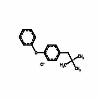 C[N+](C)(C)Cc1ccc(Oc2ccccc2)cc1.[Cl-]